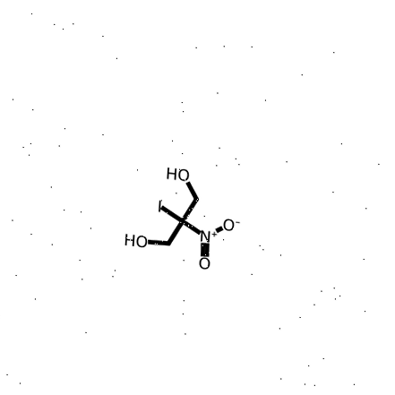 O=[N+]([O-])C(I)(CO)CO